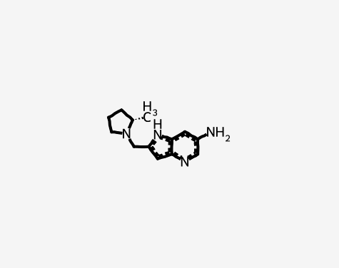 C[C@H]1CCCN1Cc1cc2ncc(N)cc2[nH]1